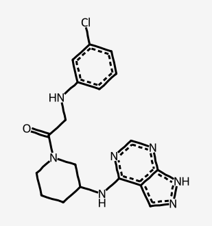 O=C(CNc1cccc(Cl)c1)N1CCCC(Nc2ncnc3[nH]ncc23)C1